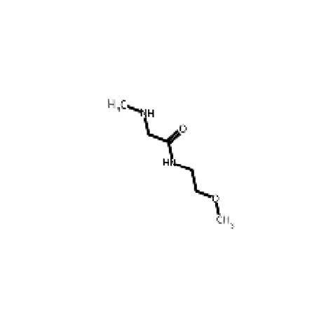 CNCC(=O)NCCOC